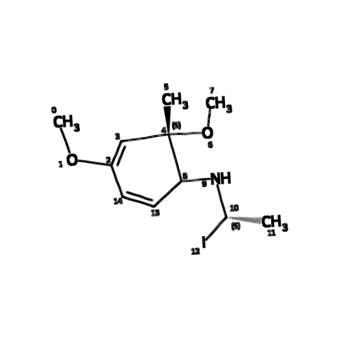 COC1=C[C@](C)(OC)C(N[C@H](C)I)C=C1